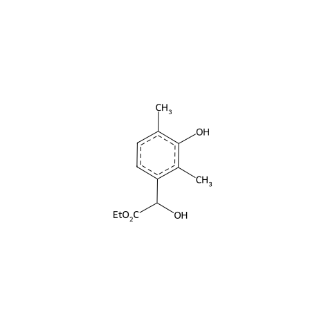 CCOC(=O)C(O)c1ccc(C)c(O)c1C